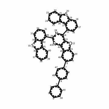 c1ccc(-c2ccc(-c3ccc4oc5c(-c6cccc7sc8ccccc8c67)nc(-c6cccc7sc8ccccc8c67)nc5c4c3)cc2)cc1